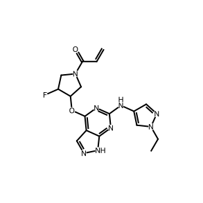 C=CC(=O)N1CC(F)C(Oc2nc(Nc3cnn(CC)c3)nc3[nH]ncc23)C1